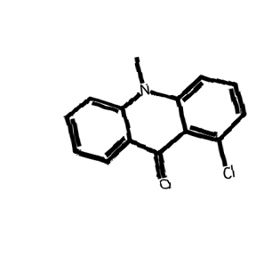 Cn1c2ccccc2c(=O)c2c(Cl)cccc21